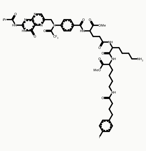 COC(=O)C(CCC(=O)NC(CCCCN)C(=O)NC(CCCCNC(=O)CCCc1ccc(I)cc1)C(=O)OC)NC(=O)c1ccc(N(Cc2cnc3nc(NC(=O)C(C)C)[nH]c(=O)c3n2)C(=O)C(F)(F)F)cc1